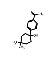 CC(=O)c1ccc(C2(O)CCC(C)(C)CC2)cc1